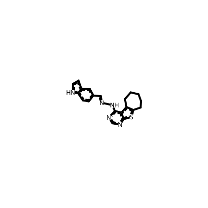 C(=NNc1ncnc2sc3c(c12)CCCCC3)c1ccc2[nH]ccc2c1